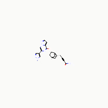 Cn1cc(-c2cn3nccc3c(O[C@H]3C[C@H]4C[C@H](CC#CC(N)=O)[C@H]3C4)n2)cn1